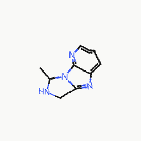 CC1NCc2nc3cccnc3n21